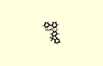 CC1(C)c2ccccc2-c2cc(F)c(N(c3ccccc3-c3ccccc3)C(C)(C)C)cc21